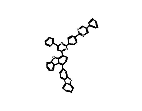 c1ccc(-c2cnc(-c3ccc(-c4nc(-c5ccccc5)cc(-c5ccc(-c6ccc7c(c6)sc6ccccc67)c6c5oc5ccccc56)n4)cc3)nc2)cc1